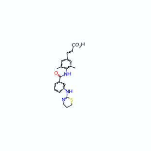 Cc1cc(/C=C/C(=O)O)cc(C)c1NC(=O)c1cccc(NC2=NCCCS2)c1